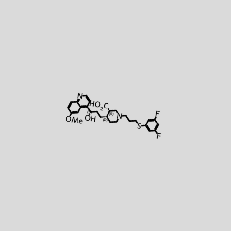 COc1ccc2nccc([C@@H](O)CC[C@@H]3CCN(CCCSc4cc(F)cc(F)c4)C[C@@H]3C(=O)O)c2c1